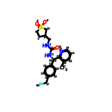 O=C(NCC1CCS(=O)(=O)C1)N[C@@H](c1ccc(CF)cc1)c1ncccc1C(F)(F)F